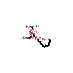 CCCCC/C=C\C/C=C\C/C=C\CCCCC(=O)OC[C@H](COP(=O)(O)OC[C@H](N)C(=O)O)OC(=O)CCCCCCCCCCC